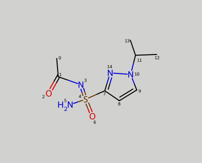 CC(=O)N=S(N)(=O)c1ccn(C(C)C)n1